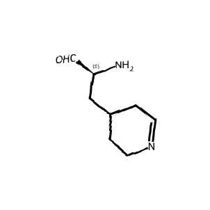 N[C@H](C=O)CC1CC=NCC1